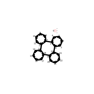 [B].c1ccc2c(c1)-c1ccccc1-c1ccccc1-c1ccccc1-2